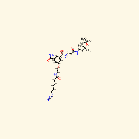 CC(=O)C(C)(C)OC(C)(C)CCNC(=O)CCNC(O)c1cc(OCCNC(=O)CCCCCN=[N+]=[N-])cc(C(N)=O)c1